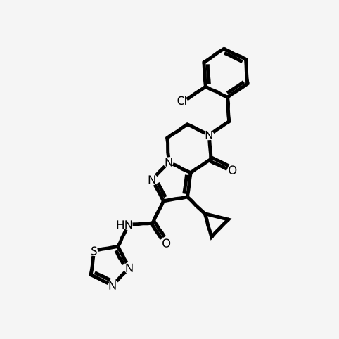 O=C(Nc1nncs1)c1nn2c(c1C1CC1)C(=O)N(Cc1ccccc1Cl)CC2